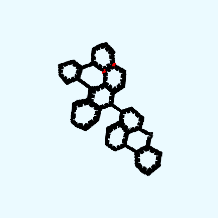 c1ccc(-c2ccccc2-c2c3ccccc3c(-c3ccc4c5c(cccc35)-c3ccccc3S4)c3ccccc23)cc1